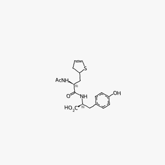 CC(=O)N[C@@H](CC1CC=CS1)C(=O)N[C@@H](Cc1ccc(O)cc1)C(=O)O